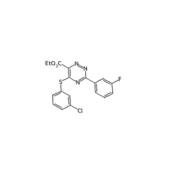 CCOC(=O)c1nnc(-c2cccc(F)c2)nc1Sc1cccc(Cl)c1